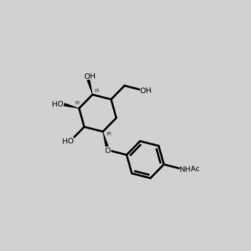 CC(=O)Nc1ccc(O[C@@H]2CC(CO)[C@H](O)[C@H](O)C2O)cc1